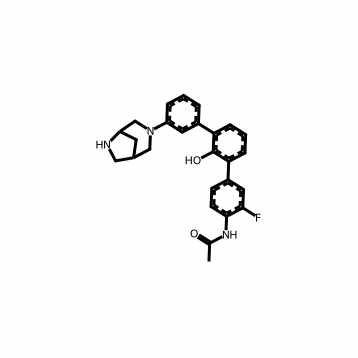 CC(=O)Nc1ccc(-c2cccc(-c3cccc(N4CC5CNC(C5)C4)c3)c2O)cc1F